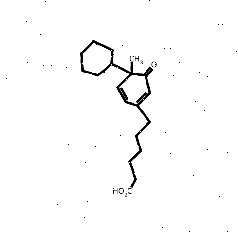 CC1(C2CCCCC2)C=CC(CCCCCC(=O)O)=CC1=O